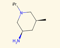 CC(C)N1C[C@@H](C)C[C@@H](N)C1